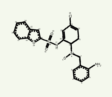 Nc1ccccc1C[S+]([O-])C1CC=C(Cl)C=C1NS(=O)(=O)c1cc2ccccc2o1